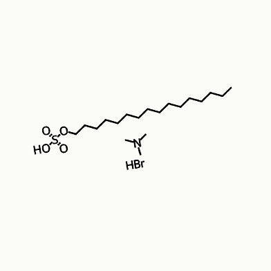 Br.CCCCCCCCCCCCCCCCOS(=O)(=O)O.CN(C)C